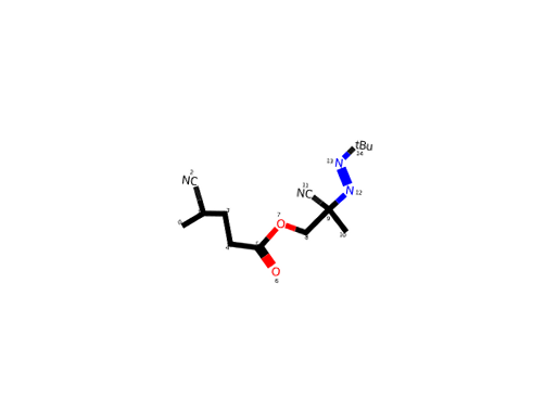 CC(C#N)CCC(=O)OCC(C)(C#N)N=NC(C)(C)C